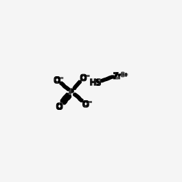 O=P([O-])([O-])[O-].[SH][Zr+3]